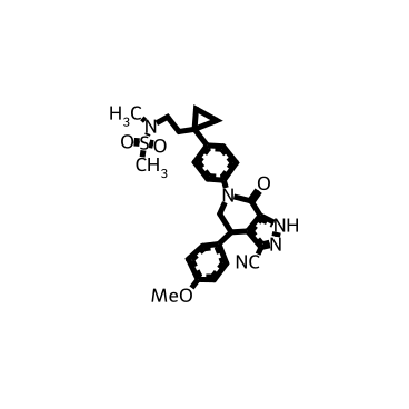 COc1ccc(C2CN(c3ccc(C4(CCN(C)S(C)(=O)=O)CC4)cc3)C(=O)c3[nH]nc(C#N)c32)cc1